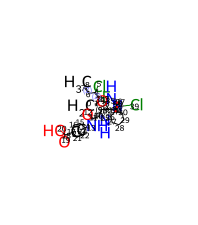 C=C(/C(F)=C(Cl)\C=C/C)[C@H]1[C@H](C(=O)NC23CCC(C(=O)O)(CC2)CC3)NC2(CCCCC2)[C@@]12C(=O)Nc1cc(Cl)ncc12